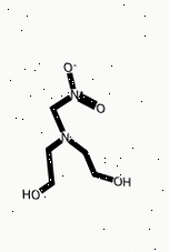 O=[N+]([O-])CN(CCO)CCO